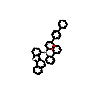 c1ccc(-c2ccc(-c3ccc(N(c4ccccc4-c4ccccc4)c4cccc5oc6c7ccccc7ccc6c45)cc3)cc2)cc1